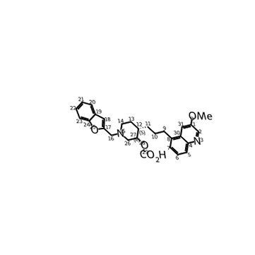 COc1cnc2cccc(CCC[C@H]3CCN(Cc4cc5ccccc5o4)C[C@@H]3OC(=O)O)c2c1